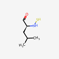 CC(C)C[C@@H](C=O)NS